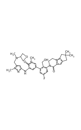 CN(Cc1cc(Nc2cc(-c3cc(F)cc(N4CCn5c(cc6c5CC(C)(C)C6)C4=O)c3CO)cn(C)c2=O)nn1C)C1COC1